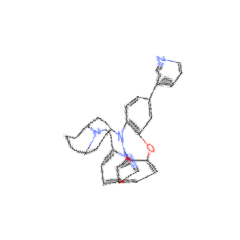 c1ccc(CN2C3CCC2CC(N2c4ccccc4Oc4cc(-c5cccnc5)ccc42)C3)nc1